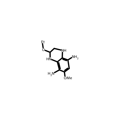 CCOC1CNc2c(N)cc(OC)c(N)c2N1